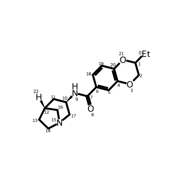 CCC1COc2cc(C(=O)N[C@@H]3C[C@H]4CCN(C4)C3)ccc2O1